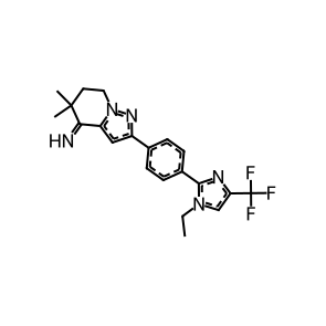 CCn1cc(C(F)(F)F)nc1-c1ccc(-c2cc3n(n2)CCC(C)(C)C3=N)cc1